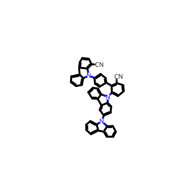 N#Cc1cccc(-n2c3ccccc3c3cc(-n4c5ccccc5c5ccccc54)ccc32)c1-c1ccc(-n2c3ccccc3c3cccc(C#N)c32)cc1